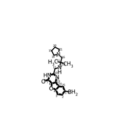 Bc1ccc2oc3c(=O)[nH]c(CNC(C)(C)CN4CCCC4)nc3c2c1